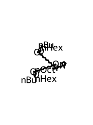 CCCCCCCCN(CCCN1CCCC1)C(=O)C(CCCCCCCCC(=O)OCC(CCCC)CCCCCC)CCCCCCCCC(=O)OCC(CCCC)CCCCCC